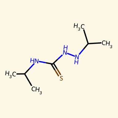 CC(C)NNC(=S)NC(C)C